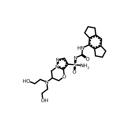 NS(=O)(=NC(=O)Nc1c2c(cc3c1CCC3)CCC2)c1cnn2c1OCC(N(CCO)CCO)C2